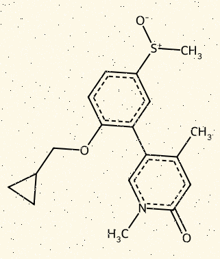 Cc1cc(=O)n(C)cc1-c1cc([S+](C)[O-])ccc1OCC1CC1